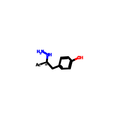 CC(=O)[C@H](Cc1ccc(O)cc1)NN